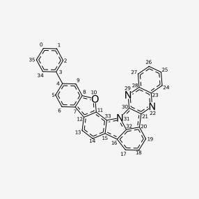 c1ccc(-c2ccc3c(c2)oc2c3ccc3c4cccc5c6nc7ccccc7nc6n(c45)c32)cc1